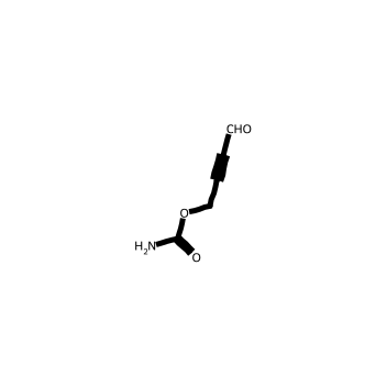 NC(=O)OCC#CC=O